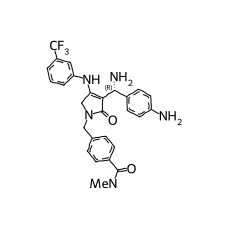 CNC(=O)c1ccc(CN2CC(Nc3cccc(C(F)(F)F)c3)=C([C@H](N)c3ccc(N)cc3)C2=O)cc1